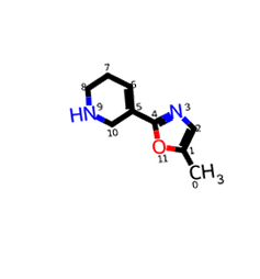 Cc1cnc(C2=CCCNC2)o1